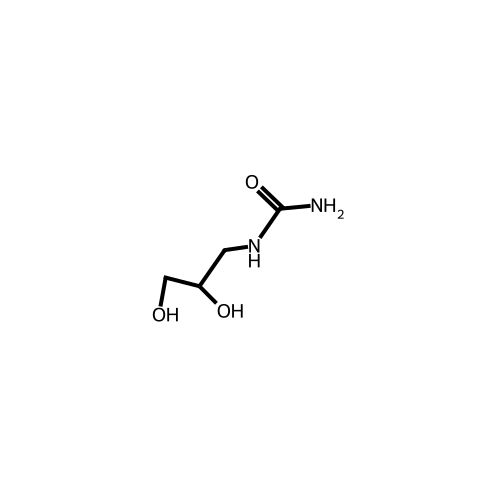 NC(=O)NCC(O)CO